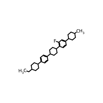 CCC1CCC(c2ccc(C3CCC(c4ccc(C5CCC(C)CC5)cc4F)CC3)cc2)CC1